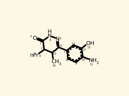 CCCC1C(=O)NN=C(c2ccc(N)c(O)c2)C1C